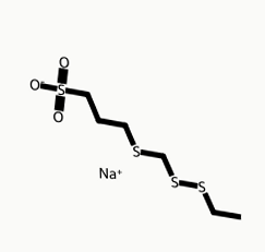 CCSSCSCCCS(=O)(=O)[O-].[Na+]